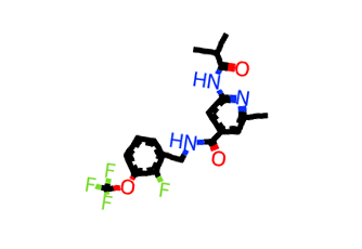 Cc1cc(C(=O)NCc2cccc(OC(F)(F)F)c2F)cc(NC(=O)C(C)C)n1